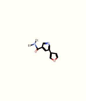 CCN(CC)C(=O)c1cncc(-c2ccoc2)c1